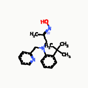 C/C(CN(Cc1ccccn1)c1ccccc1C(C)(C)C)=N\O